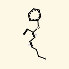 C=C/C(=C\C=C/CCI)Oc1ccccc1